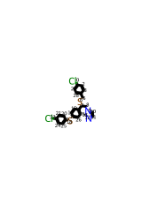 Clc1ccc(CSC(Cn2ccnc2)c2ccc(Sc3ccc(Cl)cc3)cc2)cc1